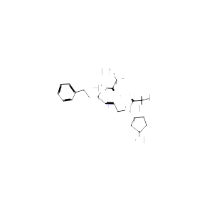 C[C@H](N)C(=O)N[C@H](/C=C/CN(C(=O)C(F)(F)F)[C@H]1CC[C@H](O)C1)CCc1ccccc1